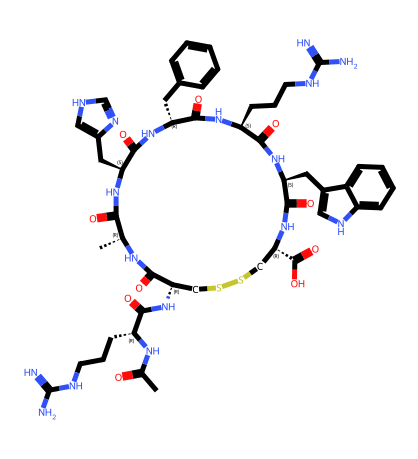 CC(=O)N[C@H](CCCNC(=N)N)C(=O)N[C@H]1CSSC[C@@H](C(=O)O)NC(=O)[C@H](Cc2c[nH]c3ccccc23)NC(=O)[C@H](CCCNC(=N)N)NC(=O)[C@@H](Cc2ccccc2)NC(=O)[C@H](Cc2c[nH]cn2)NC(=O)[C@@H](C)NC1=O